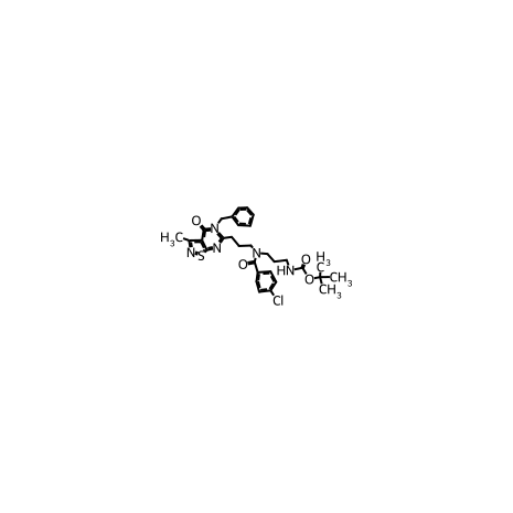 Cc1nsc2nc(CCCN(CCCNC(=O)OC(C)(C)C)C(=O)c3ccc(Cl)cc3)n(Cc3ccccc3)c(=O)c12